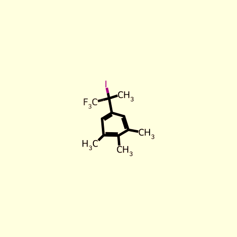 Cc1cc(C(C)(I)C(F)(F)F)cc(C)c1C